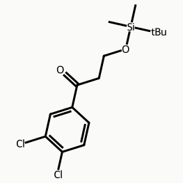 CC(C)(C)[Si](C)(C)OCCC(=O)c1ccc(Cl)c(Cl)c1